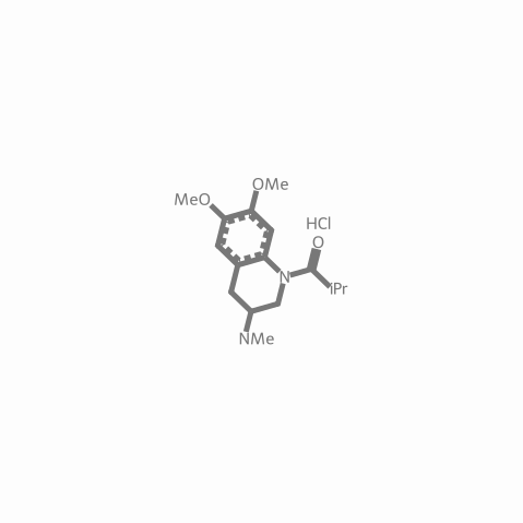 CNC1Cc2cc(OC)c(OC)cc2N(C(=O)C(C)C)C1.Cl